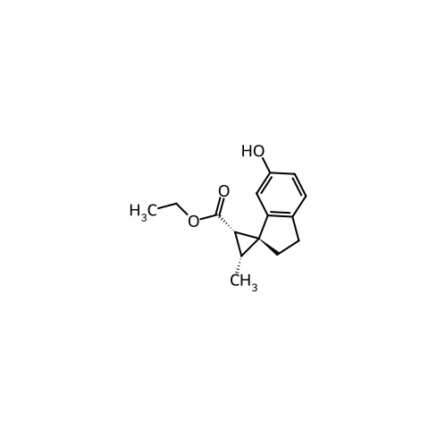 CCOC(=O)[C@H]1[C@@H](C)[C@]12CCc1ccc(O)cc12